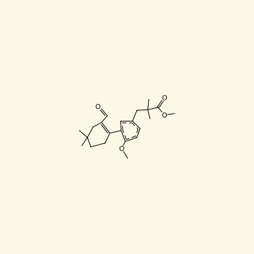 COC(=O)C(C)(C)Cc1ccc(OC)c(C2=C(C=O)CC(C)(C)CC2)c1